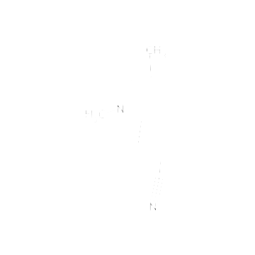 C/C=C/N(C)CCCC#N